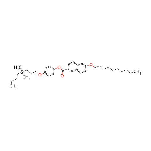 CCCCCCCCCCOc1ccc2cc(C(=O)Oc3ccc(OCCC[Si](C)(C)CCCC)cc3)ccc2c1